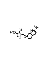 CN(C)c1ccc2ccc(OCC3OCC(O)C3O)cc2n1